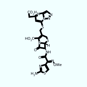 CON=C(C(=O)N[C@@H]1C(=O)N2C(C(=O)O)=C(CSc3cc(CC(=O)O)nc4cnnn34)CS[C@H]12)c1csc(N)n1